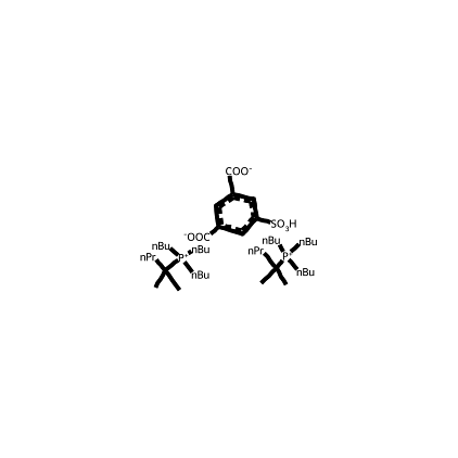 CCCC[P+](CCCC)(CCCC)C(C)(C)CCC.CCCC[P+](CCCC)(CCCC)C(C)(C)CCC.O=C([O-])c1cc(C(=O)[O-])cc(S(=O)(=O)O)c1